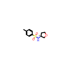 Cc1ccc(S(=O)(=O)N[C@H]2CCOC2)cc1